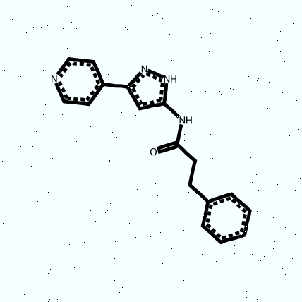 O=C(CCc1ccccc1)Nc1cc(-c2ccncc2)n[nH]1